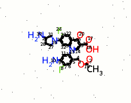 CC(=O)OCc1cc(F)c(N)cc1-n1cc(C(=O)O)c(=O)c2cc(F)c(N3CCC(N)C3)cc21